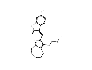 COc1ccc2c(c1)NC(=O)/C2=C\c1[nH]c2c(c1CCCO)CCCCC2